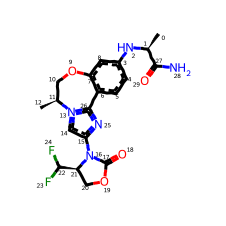 C[C@H](Nc1ccc2c(c1)OC[C@H](C)n1cc(N3C(=O)OC[C@H]3C(F)F)nc1-2)C(N)=O